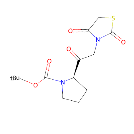 CC(C)(C)OC(=O)N1CCC[C@@H]1C(=O)CN1C(=O)CSC1=O